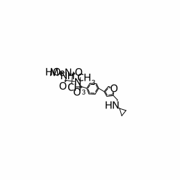 CNC(=O)[C@@](C)(C(=O)NO)N(C)C(=O)c1ccc(-c2coc(CNC3CC3)c2)cc1